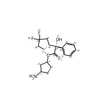 NC1CCC(OC(=O)[C@](O)(c2ccccc2)[C@@H]2CCC(F)(F)C2)C1